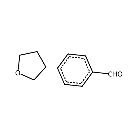 C1CCOC1.O=Cc1ccccc1